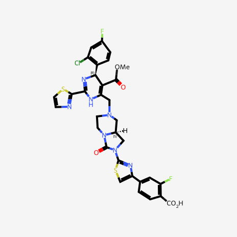 COC(=O)C1=C(CN2CCN3C(=O)N(c4nc(-c5ccc(C(=O)O)c(F)c5)cs4)C[C@@H]3C2)NC(c2nccs2)=N[C@H]1c1ccc(F)cc1Cl